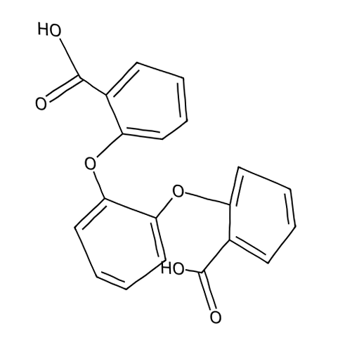 O=C(O)c1ccccc1Oc1ccccc1Oc1ccccc1C(=O)O